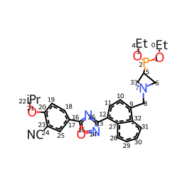 CCOP(OCC)C1CN(Cc2ccc(-c3noc(-c4ccc(OC(C)C)c(C#N)c4)n3)c3ccccc23)C1